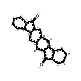 O=c1c2ccccc2c2cc3cc4c(=O)c5ccccc5c4cc3cc12